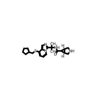 CC(C)(NC(=O)C1[C@H]2CNC[C@@H]12)c1ncc2c(SCC3CCCC3)cccn12